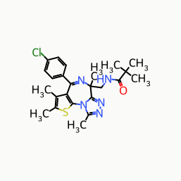 Cc1sc2c(c1C)C(c1ccc(Cl)cc1)=NC(C)(CNC(=O)C(C)(C)C)c1nnc(C)n1-2